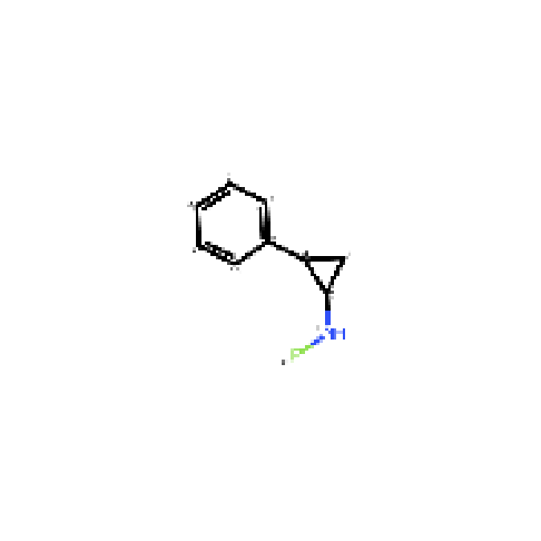 FNC1CC1c1ccccc1